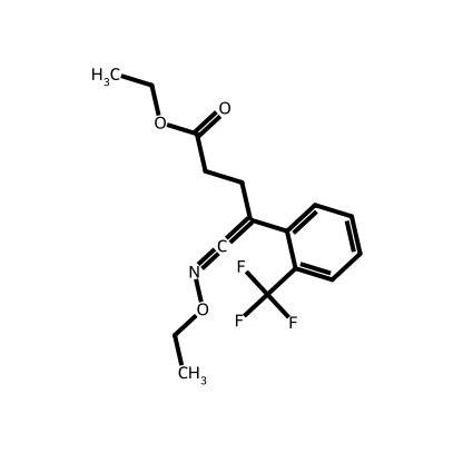 CCON=C=C(CCC(=O)OCC)c1ccccc1C(F)(F)F